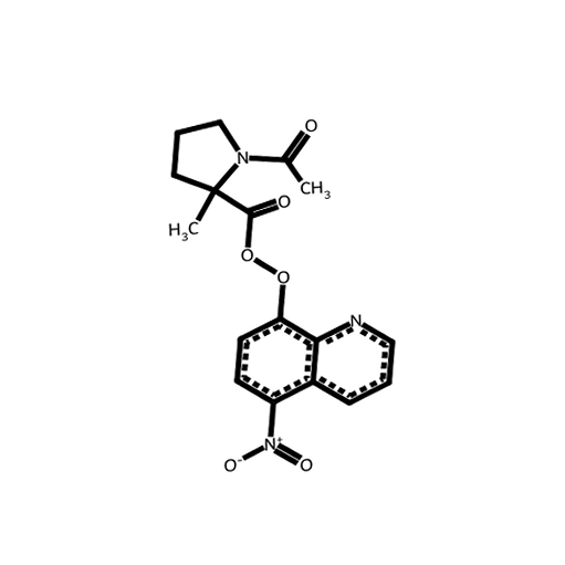 CC(=O)N1CCCC1(C)C(=O)OOc1ccc([N+](=O)[O-])c2cccnc12